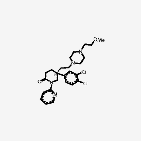 COCCN1CCN(CC[C@]2(c3ccc(Cl)c(Cl)c3)CCC(=O)N(c3ccccn3)C2)CC1